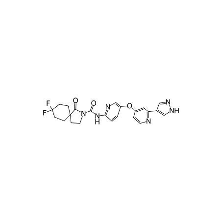 O=C(Nc1ccc(Oc2ccnc(-c3cn[nH]c3)c2)cn1)N1CCC2(CCC(F)(F)CC2)C1=O